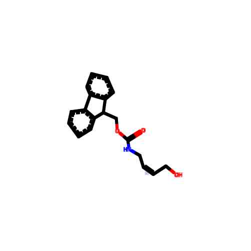 O=C(NC/C=C\CO)OCC1c2ccccc2-c2ccccc21